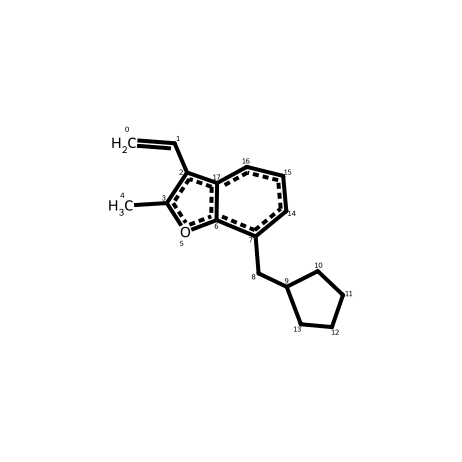 C=Cc1c(C)oc2c(CC3CCCC3)cccc12